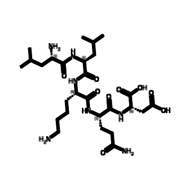 CC(C)C[C@H](NC(=O)[C@@H](N)CC(C)C)C(=O)N[C@@H](CCCCN)C(=O)N[C@@H](CCC(N)=O)C(=O)N[C@@H](CC(=O)O)C(=O)O